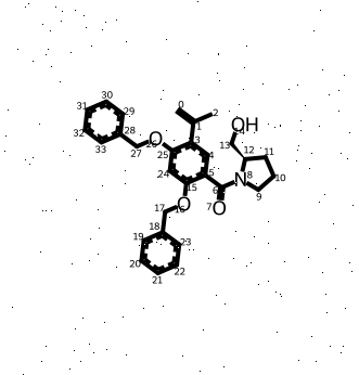 C=C(C)c1cc(C(=O)N2CCC[C@@H]2CO)c(OCc2ccccc2)cc1OCc1ccccc1